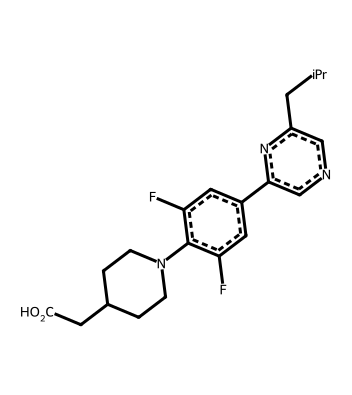 CC(C)Cc1cncc(-c2cc(F)c(N3CCC(CC(=O)O)CC3)c(F)c2)n1